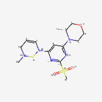 C[C@@H]1COCCN1c1cc(N2C=CCN(C)S2)nc(S(C)(=O)=O)n1